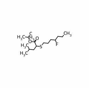 CCCC(F)CCCSC(CC(C)C)C(=O)OC(C)C